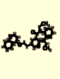 CCN1C(=O)c2cc(CCOc3ccnc4ccccc34)cnc2N(CC)c2ncccc21